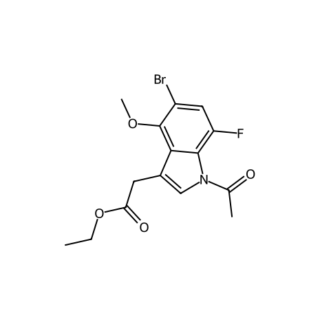 CCOC(=O)Cc1cn(C(C)=O)c2c(F)cc(Br)c(OC)c12